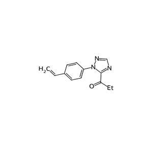 C=Cc1ccc(-n2ncnc2C(=O)CC)cc1